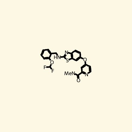 CNC(=O)c1cc(Oc2ccc3nc(NCc4ccccc4OC(F)F)sc3c2)ccn1